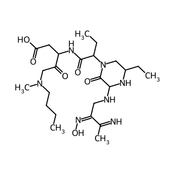 CCCCN(C)CC(=O)C(CC(=O)O)NC(=O)C(CC)N1CC(CC)NC(NC/C(=N/O)C(C)=N)C1=O